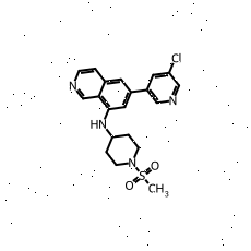 CS(=O)(=O)N1CCC(Nc2cc(-c3cncc(Cl)c3)cc3ccncc23)CC1